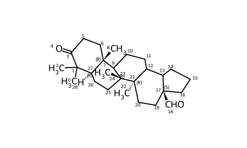 CC1(C)C(=O)CC[C@]2(C)C3CCC4C5CCC[C@]5(C=O)CC[C@@]4(C)[C@]3(C)CC[C@@H]12